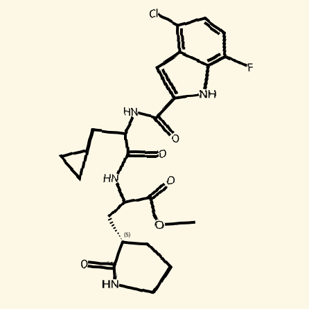 COC(=O)C(C[C@@H]1CCCNC1=O)NC(=O)C(CC1CC1)NC(=O)c1cc2c(Cl)ccc(F)c2[nH]1